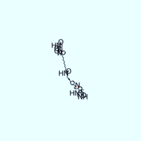 C[C@@H]1CNc2c(sc3ccc4nc(-c5ccc(C#CCCNC(=O)CCCCCCCCCc6cccc7c6n(C)c(=O)n7C6CCC(=O)NC6=O)cc5)ccc4c23)C(=O)N1